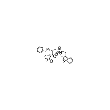 CC(C)C(CS(=O)(=O)N1CCc2c(sc3ccccc23)C1)C(=O)N1C(=O)OCC1Cc1ccccc1